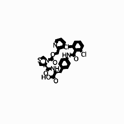 O=C(Nc1ccc(C[C@H](NC(=O)[C@H]2CSCN2C(=O)OCc2ccccn2)C(=O)O)cc1)c1c(Cl)cccc1Cl